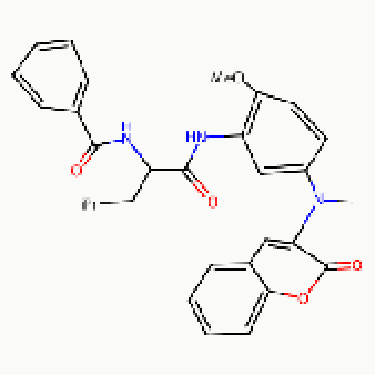 COc1ccc(N(C)c2cc3ccccc3oc2=O)cc1NC(=O)C(CC(C)C)NC(=O)c1ccccc1